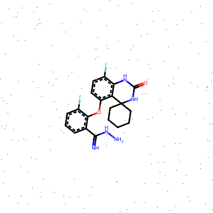 N=C(NN)c1cccc(F)c1Oc1ccc(F)c2c1C1(CCCCC1)NC(=O)N2